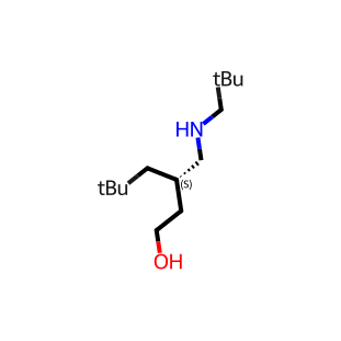 CC(C)(C)CNC[C@H](CCO)CC(C)(C)C